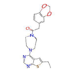 CCc1cc2c(N3CCN(C(=O)Cc4ccc5c(c4)OCO5)CC3)ncnc2s1